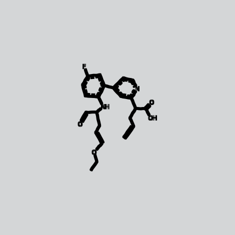 C=CCC(C(=O)O)c1cc(-c2cc(F)ccc2NC(C=O)CC=COCC)ccn1